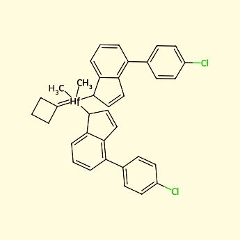 [CH3][Hf]([CH3])(=[C]1CCC1)([CH]1C=Cc2c(-c3ccc(Cl)cc3)cccc21)[CH]1C=Cc2c(-c3ccc(Cl)cc3)cccc21